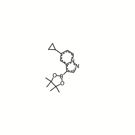 CC1(C)OB(c2cnn3ccc(C4CC4)cc23)OC1(C)C